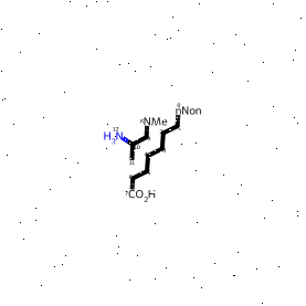 CCCCCCCCCCCCCCCC(=O)O.CNCC(C)N